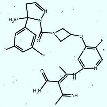 BC1(c2cc(F)cc(F)c2)CC=NN1C(=O)N1CC(Oc2cc(N/C(C)=C(\C(C)=N)C(N)=O)ncc2F)C1